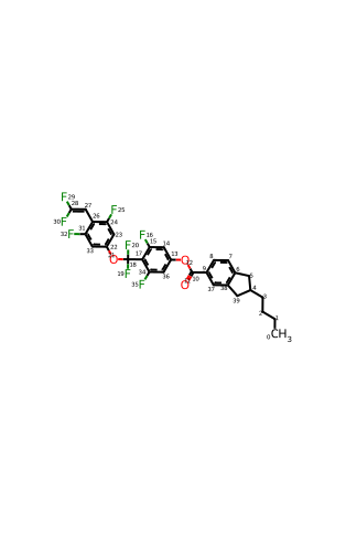 CCCCC1Cc2ccc(C(=O)Oc3cc(F)c(C(F)(F)Oc4cc(F)c(C=C(F)F)c(F)c4)c(F)c3)cc2C1